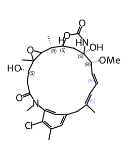 CO[C@@H]1/C=C/C=C(\C)Cc2cc(C)c(Cl)c(c2)N(C)C(=O)C[C@H](O)C2(C)OC2[C@H](C)[C@@H]2C[C@@]1(O)NC(=O)O2